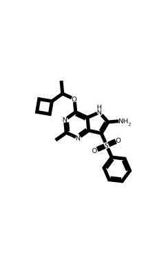 Cc1nc(OC(C)C2CCC2)c2[nH]c(N)c(S(=O)(=O)c3ccccc3)c2n1